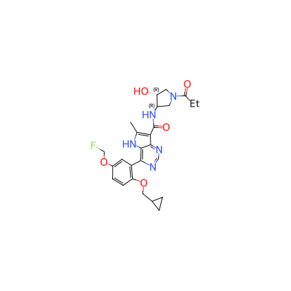 CCC(=O)N1C[C@@H](O)[C@H](NC(=O)c2c(C)[nH]c3c(-c4cc(OCF)ccc4OCC4CC4)ncnc23)C1